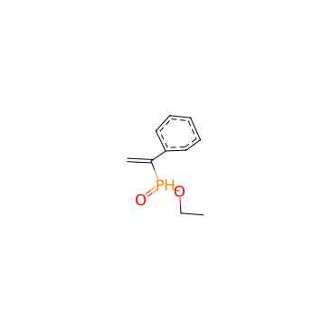 C=C(c1ccccc1)[PH](=O)OCC